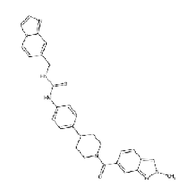 Cn1cc2ccc(C(=O)N3CCC(c4ccc(NC(=O)NCc5ccn6ccnc6c5)cc4)CC3)cc2n1